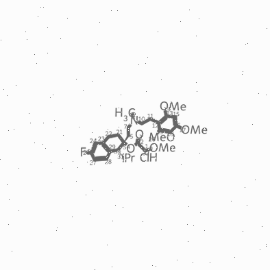 COCC(=O)O[C@@]1(CCN(C)CCc2c(OC)cc(OC)cc2OC)CCc2cc(F)ccc2[C@H]1C(C)C.Cl